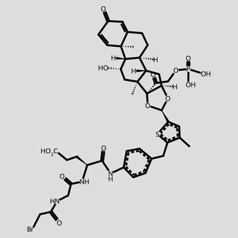 Cc1cc([C@@H]2O[C@@H]3C[C@H]4[C@@H]5CCC6=CC(=O)C=C[C@]6(C)[C@H]5[C@@H](O)C[C@]4(C)[C@]3(C(=O)COP(=O)(O)O)O2)sc1Cc1ccc(NC(=O)[C@H](CCC(=O)O)NC(=O)CNC(=O)CBr)cc1